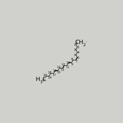 [CH2]CCCCC/C=C\CC=CCC=CCC=CCCCCC